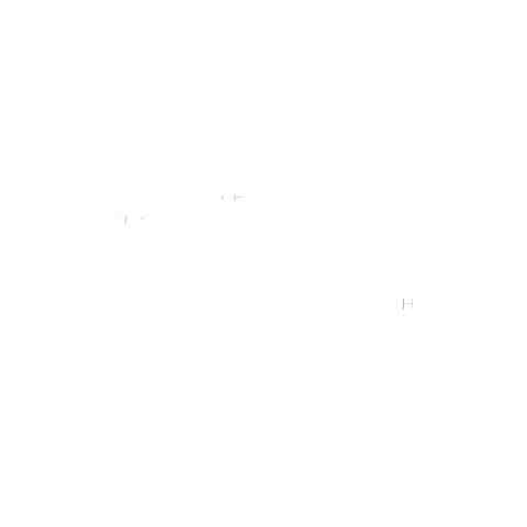 CCOC(=O)C(C)=Cc1ccc(C(=O)O)cc1